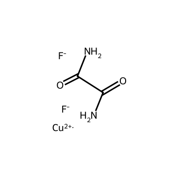 NC(=O)C(N)=O.[Cu+2].[F-].[F-]